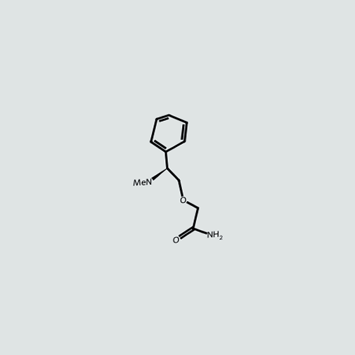 CN[C@H](COCC(N)=O)c1ccccc1